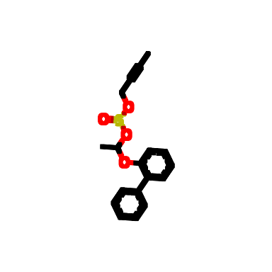 CC#CCOS(=O)OC(C)Oc1ccccc1-c1ccccc1